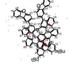 CC(C)(C)c1ccc2c(c1)c1cc(C(C)(C)C)ccc1n2-c1cc2c3c(c1)N(c1c(-c4ccccc4)cccc1-c1ccccc1)c1ccc(-c4ccc5oc6ccccc6c5c4)cc1B3c1cc(-c3ccc4oc5ccccc5c4c3)ccc1N2c1c(-c2ccccc2)cccc1-c1ccccc1